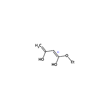 C=C(O)/C=C(\O)OCC